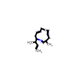 CC=CC(C)C1C/C=C/CC/C=C/CC(C)/C=N/1